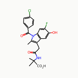 Cc1c(CC(=O)NC(C)(C)C(=O)O)c2cc(O)c(F)cc2n1C(=O)c1ccc(Cl)cc1